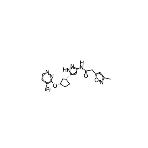 Cc1cc(CC(=O)Nc2cc([C@@H]3CC[C@H](Oc4nnccc4C(C)C)C3)[nH]n2)on1